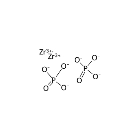 O=P([O-])([O-])[O-].O=P([O-])([O-])[O-].[Zr+3].[Zr+3]